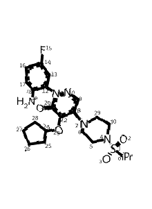 CC(C)S(=O)(=O)N1CCN(c2cnn(-c3cc(F)ccc3N)c(=O)c2OC2CCCC2)CC1